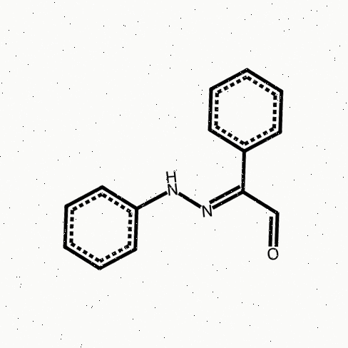 O=C/C(=N/Nc1ccccc1)c1ccccc1